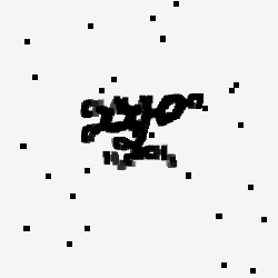 CN(C)C(=O)Cn1c(-c2ccc(Cl)cc2)nc2nc(Cl)c(Cl)cc21